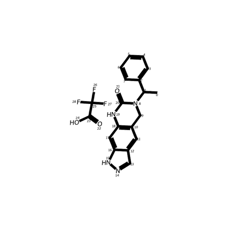 CC(c1ccccc1)N1Cc2cc3cn[nH]c3cc2NC1=O.O=C(O)C(F)(F)F